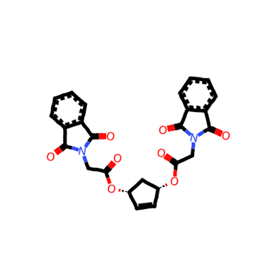 O=C(CN1C(=O)c2ccccc2C1=O)O[C@@H]1C=C[C@H](OC(=O)CN2C(=O)c3ccccc3C2=O)C1